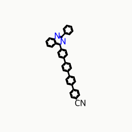 N#Cc1ccc(-c2ccc(-c3ccc(-c4ccc(-c5nc(-c6ccccc6)nc6ccccc56)cc4)cc3)cc2)cc1